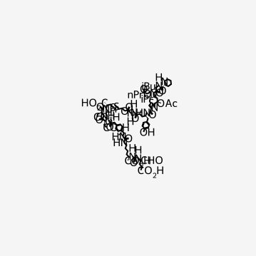 CCCC(=O)OCN(C(=O)[C@@H](NC(=O)[C@H]1CCCCN1C)C(C)CC)[C@H](C[C@@H](OC(C)=O)c1nc(C(=O)N[C@@H](Cc2ccc(O)cc2)C[C@H](C)C(=O)NNC(=O)OCCSSC[C@H](NC(=O)[C@H](CC(=O)O)NC(=O)[C@H](CC(=O)O)NC(=O)Cc2ccc(CNC(=O)NCCCC[C@@H](NC(=O)N[C@H](C=O)CCC(=O)O)C(=O)O)cc2)C(=O)O)cs1)C(C)C